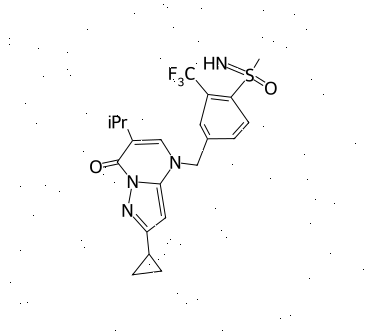 CC(C)c1cn(Cc2ccc(S(C)(=N)=O)c(C(F)(F)F)c2)c2cc(C3CC3)nn2c1=O